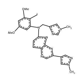 COc1cc(OC)c(F)c(N(Cc2cn(C)cn2)c2ccc3ncc(-c4cnn(C)c4)nc3n2)c1